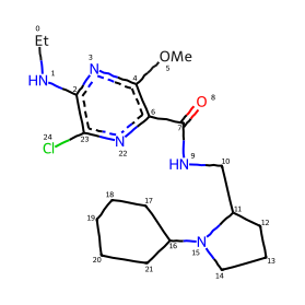 CCNc1nc(OC)c(C(=O)NCC2CCCN2C2CCCCC2)nc1Cl